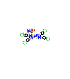 Br.Br.Clc1ccc(-c2nc(SCCSc3nc(-c4ccc(Cl)cc4)c(-c4ccc(Cl)cc4)[nH]3)[nH]c2-c2ccc(Cl)cc2)cc1